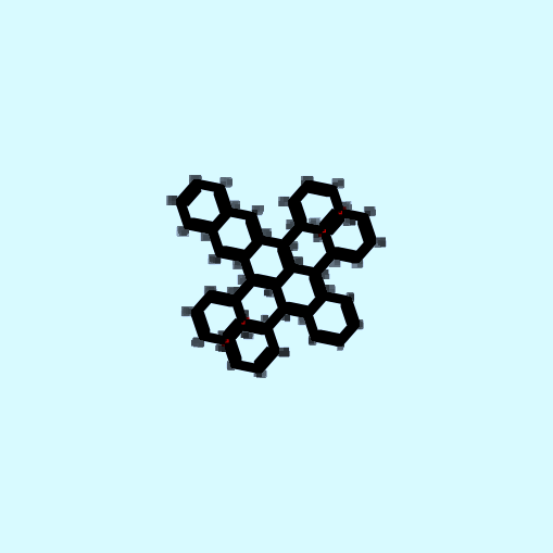 c1ccc(-c2c3ccccc3c(-c3ccccc3)c3c(-c4ccccc4)c4cc5ccccc5cc4c(-c4ccccc4)c23)cc1